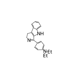 CCN(CC)c1ccc(C2=NCCc3c2[nH]c2ccccc32)cc1